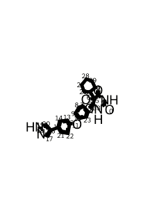 O=C1NC(=O)C(Oc2ccc(Oc3ccc(-c4cn[nH]c4)cc3)cc2)(C2CCCCC2)C(=O)N1